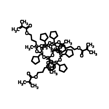 C=C(C)C(=O)OCCC[Si](C)(C)O[Si]1(C2CCCC2)O[Si]2(C3CCCC3)O[Si](O[Si](C)(C)CCCOC(=O)C(=C)C)(C3CCCC3)O[Si]3(C4CCCC4)O[Si](O[Si](C)(C)CCCOC(=O)C(=C)C)(C4CCCC4)O[Si](C4CCCC4)(O1)O[Si](C1CCCC1)(O2)O3